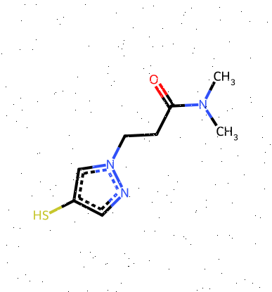 CN(C)C(=O)CCn1cc(S)cn1